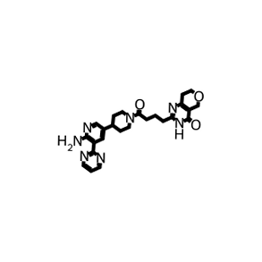 Nc1ncc(C2CCN(C(=O)CCCc3nc4c(c(=O)[nH]3)COCC4)CC2)cc1-c1ncccn1